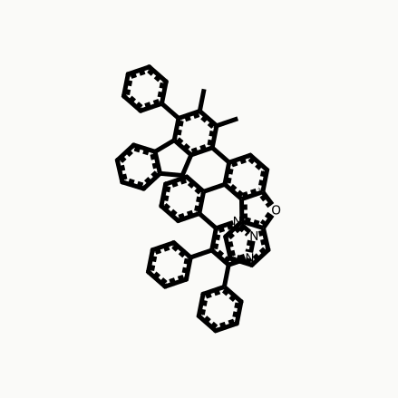 Cc1c(C)c(-c2ccccc2)c2c(c1-c1ccc3oc4ccccc4c3c1-c1ccccc1-c1nnnc(-c3ccccc3)c1-c1ccccc1)Cc1ccccc1-2